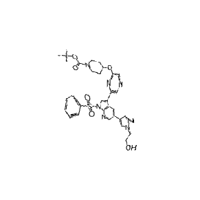 CC(C)(C)OC(=O)N1CCC(Oc2cncc(-c3cn(S(=O)(=O)c4ccccc4)c4ncc(-c5cnn(CCO)c5)cc34)n2)CC1